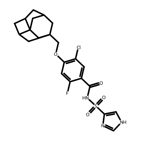 O=C(NS(=O)(=O)c1c[nH]cn1)c1cc(Cl)c(OCC23CC4CC5CC(C2)C5(C4)C3)cc1F